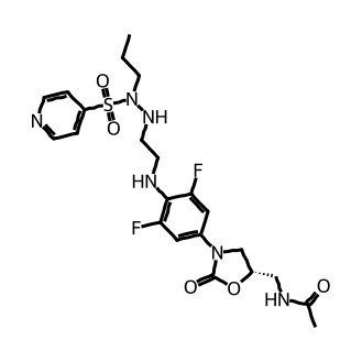 CCCN(NCCNc1c(F)cc(N2C[C@H](CNC(C)=O)OC2=O)cc1F)S(=O)(=O)c1ccncc1